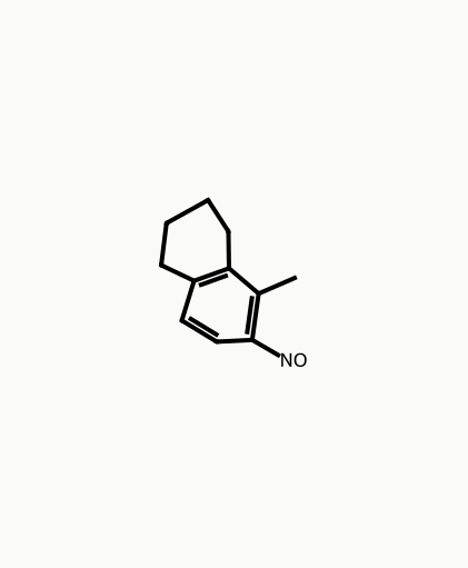 Cc1c(N=O)ccc2c1CCCC2